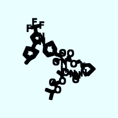 Cc1ccc(-c2cc(C(F)(F)F)nn2-c2ccc(S(=O)(=O)NC(=O)OC[C@@H]3CCCN3n3on3OC(C)OC(=O)OC(C)C)cc2)cc1